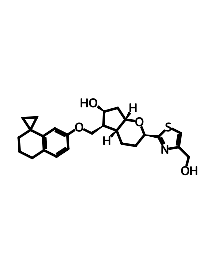 OCc1csc([C@H]2CC[C@@H]3[C@@H](COc4ccc5c(c4)C4(CCC5)CC4)[C@@H](O)C[C@@H]3O2)n1